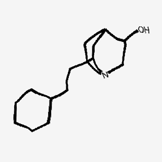 OC1CN2CCC1CC2CCC1CCCCC1